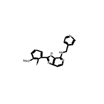 COc1cccc(-c2nc3ccnc(NCc4ccncc4)c3[nH]2)c1F